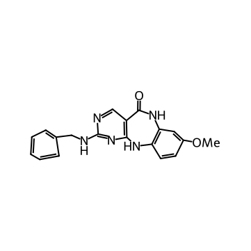 COc1ccc2c(c1)NC(=O)c1cnc(NCc3ccccc3)nc1N2